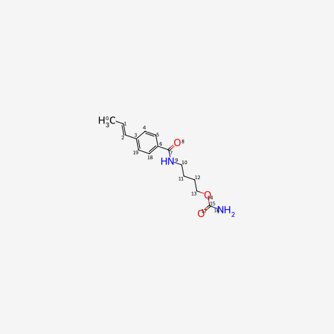 C/C=C/c1ccc(C(=O)NCCCCOC(N)=O)cc1